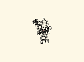 O=C(OCc1ccccc1)N1CC[C@](NS(=O)(=O)c2ccc(OC(F)(F)F)cc2)(c2ccc(Cl)c(Cl)c2)C1